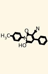 Cc1ccc(-n2c(O)cc(-c3ccccc3)c(C#N)c2=O)cc1